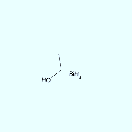 CCO.[BiH3]